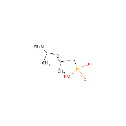 CNC(C)/C=C(\C)CP(=O)(O)O